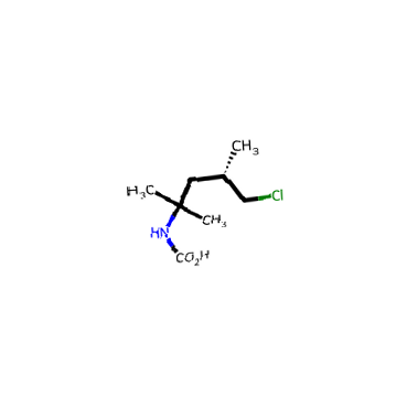 C[C@H](CCl)CC(C)(C)NC(=O)O